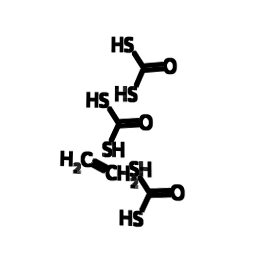 C=C.O=C(S)S.O=C(S)S.O=C(S)S